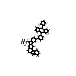 CC1(C)c2ccc(-c3cccc(-c4c5ccccc5c(-c5ccccc5)c5ccccc45)c3)cc2-c2cc3c(ccc4oc5ccccc5c43)cc21